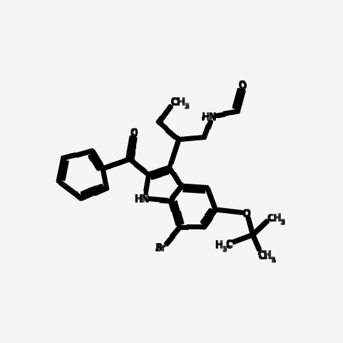 CCC(CNC=O)c1c(C(=O)c2ccccc2)[nH]c2c(Br)cc(OC(C)(C)C)cc12